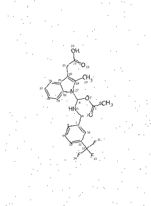 CC(=O)OC(NCc1cccc(C(F)(F)F)c1)n1c(C)c(CC(=O)O)c2ccccc21